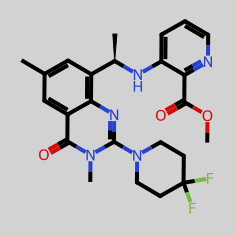 COC(=O)c1ncccc1N[C@H](C)c1cc(C)cc2c(=O)n(C)c(N3CCC(F)(F)CC3)nc12